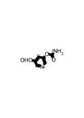 NC(=O)Oc1cncc(C=O)c1